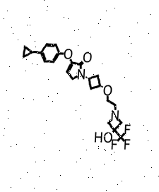 O=C1C(Oc2ccc(C3CC3)cc2)=CCN1[C@H]1C[C@@H](OCCN2CC(O)(C(F)(F)F)C2)C1